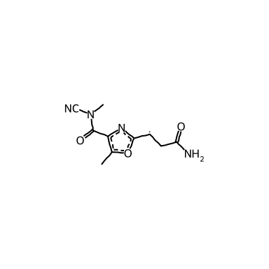 Cc1oc([CH]CC(N)=O)nc1C(=O)N(C)C#N